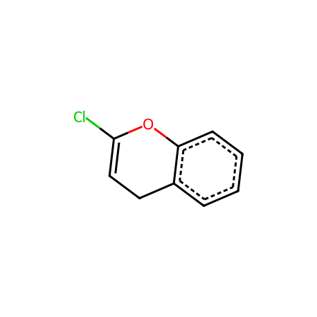 ClC1=CCc2ccccc2O1